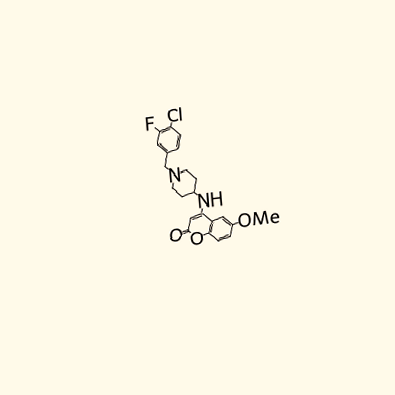 COc1ccc2oc(=O)cc(NC3CCN(Cc4ccc(Cl)c(F)c4)CC3)c2c1